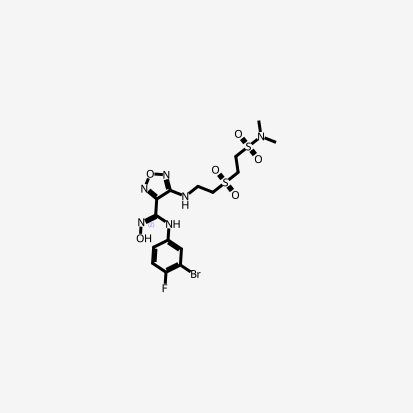 CN(C)S(=O)(=O)CCS(=O)(=O)CCNc1nonc1/C(=N/O)Nc1ccc(F)c(Br)c1